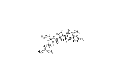 CCC(CC)(CCOC(C)C)OC(=O)C1(C)CCC1OC(=O)C(C)C(C)(O)CC